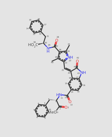 COC(=O)[C@H](Cc1ccccc1)NC(=O)c1ccc2c(c1)C(=Cc1[nH]c(C)c(C(=O)N[C@H](Cc3ccccc3)C(=O)O)c1C)C(=O)N2